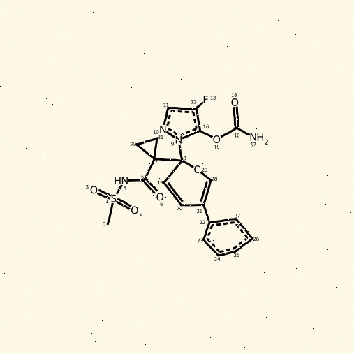 CS(=O)(=O)NC(=O)C1(C2(n3ncc(F)c3OC(N)=O)C=CC(c3ccccc3)=CC2)CC1